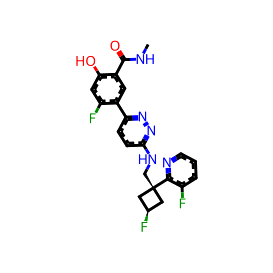 CNC(=O)c1cc(-c2ccc(NC[C@]3(c4ncccc4F)C[C@H](F)C3)nn2)c(F)cc1O